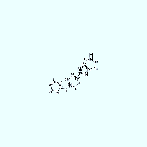 c1ccc(CN2CCN(c3nc4n(n3)CCNC4)CC2)cc1